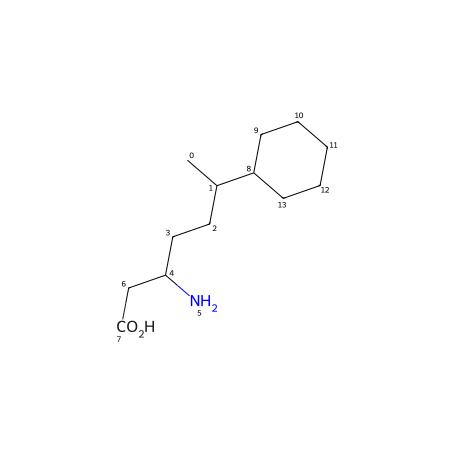 CC(CCC(N)CC(=O)O)C1CCCCC1